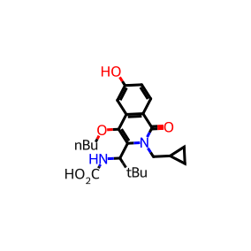 CCCCOc1c(C(NC(=O)O)C(C)(C)C)n(CC2CC2)c(=O)c2ccc(O)cc12